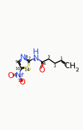 C=CCCC(=O)Nc1ncc([N+](=O)[O-])s1